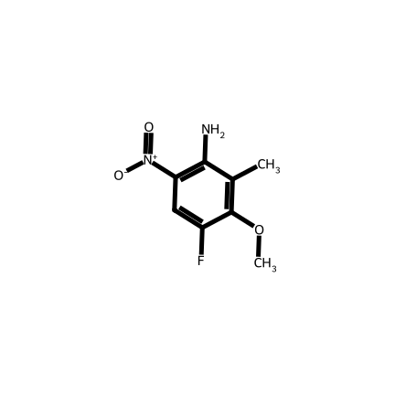 COc1c(F)cc([N+](=O)[O-])c(N)c1C